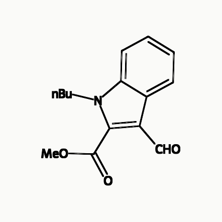 CCCCn1c(C(=O)OC)c(C=O)c2ccccc21